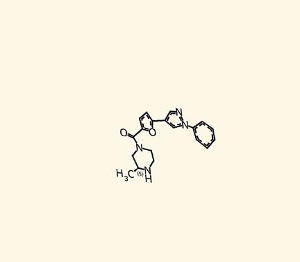 C[C@H]1CN(C(=O)c2ccc(-c3cnn(-c4ccccc4)c3)o2)CCN1